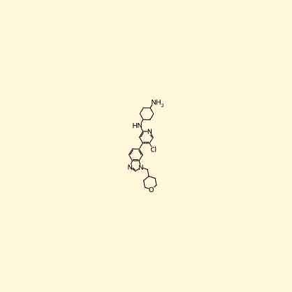 NC1CCC(Nc2cc(-c3ccc4ncn(CC5CCOCC5)c4c3)c(Cl)cn2)CC1